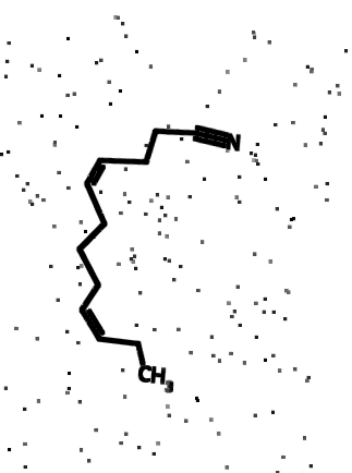 CC/C=C\CCC/C=C\CCC#N